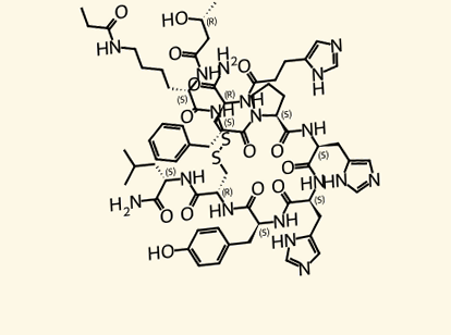 CCC(=O)NCCCC[C@H](NC(=O)C[C@@H](C)O)C(=O)N[C@@H](Cc1ccccc1)C(=O)N1CCC[C@H]1C(=O)N[C@@H](Cc1cnc[nH]1)C(=O)N[C@@H](Cc1cnc[nH]1)C(=O)N[C@@H](Cc1ccc(O)cc1)C(=O)N[C@@H](CSSC[C@H](NC(=O)CCc1cnc[nH]1)C(N)=O)C(=O)N[C@@H](CC(C)C)C(N)=O